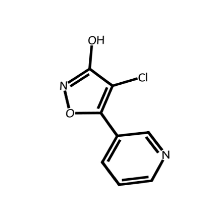 Oc1noc(-c2cccnc2)c1Cl